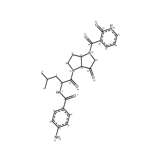 CC(C)CC(NC(=O)c1ccc(N)cc1)C(=O)N1CCC2C1C(=O)CN2C(=O)c1ccc[nH]c1=O